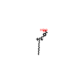 CCCCCCCCCCCCCC(CC(CCc1ccc(C(C)C(=O)OO)cc1)C(C)(C)C)C(C)(C)C